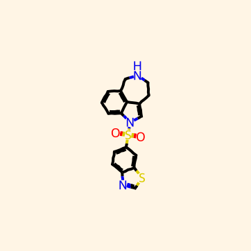 O=S(=O)(c1ccc2ncsc2c1)n1cc2c3c(cccc31)CNCC2